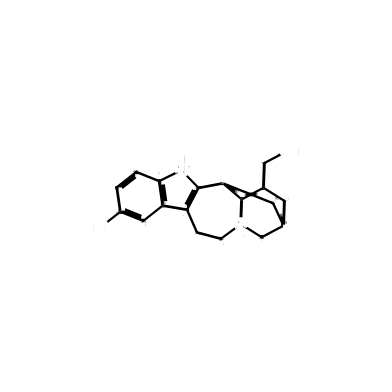 CCC1CC2CC3c4[nH]c5ccc(O)cc5c4CCN(C2)C13